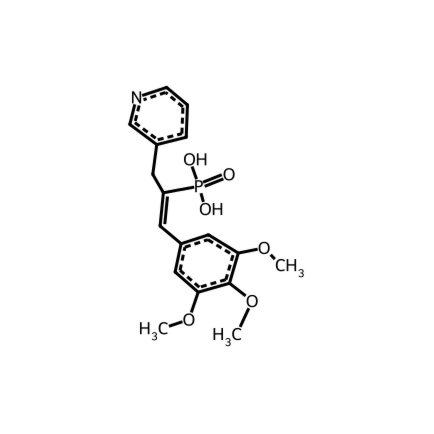 COc1cc(C=C(Cc2cccnc2)P(=O)(O)O)cc(OC)c1OC